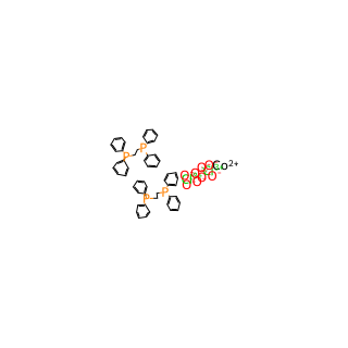 [Co+2].[O-][Cl+3]([O-])([O-])[O-].[O-][Cl+3]([O-])([O-])[O-].c1ccc(P(CCP(c2ccccc2)c2ccccc2)c2ccccc2)cc1.c1ccc(P(CCP(c2ccccc2)c2ccccc2)c2ccccc2)cc1